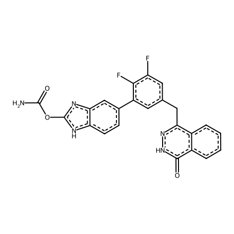 NC(=O)Oc1nc2cc(-c3cc(Cc4n[nH]c(=O)c5ccccc45)cc(F)c3F)ccc2[nH]1